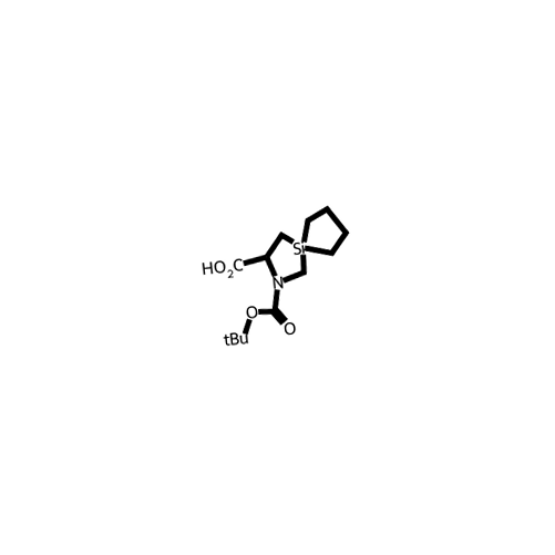 CC(C)(C)OC(=O)N1C[Si]2(CCCC2)CC1C(=O)O